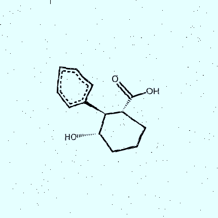 O=C(O)[C@@H]1CCC[C@H](O)[C@H]1c1ccccc1